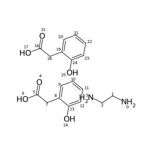 NCCN.O=C(O)Cc1ccccc1O.O=C(O)Cc1ccccc1O